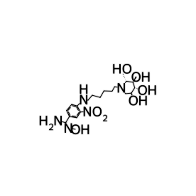 N/C(=N/O)c1ccc(NCCCCCCN2C[C@H](O)[C@@H](O)[C@H](O)[C@H]2CO)c([N+](=O)[O-])c1